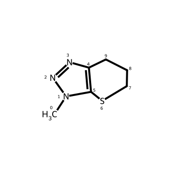 Cn1nnc2c1SCCC2